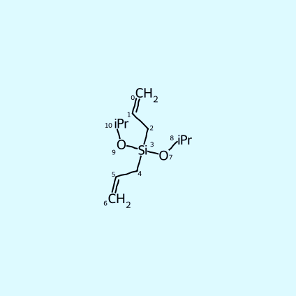 C=CC[Si](CC=C)(OC(C)C)OC(C)C